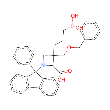 O=C(O)C1N(C2(c3ccccc3)c3ccccc3-c3ccccc32)CC1(CCCB(O)O)COCc1ccccc1